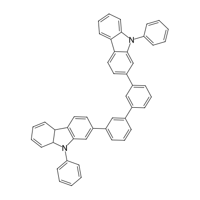 C1=CC2c3ccc(-c4cccc(-c5cccc(-c6ccc7c8ccccc8n(-c8ccccc8)c7c6)c5)c4)cc3N(c3ccccc3)C2C=C1